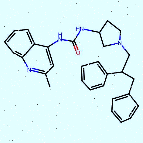 Cc1cc(NC(=O)NC2CCN(CC(Cc3ccccc3)c3ccccc3)C2)c2ccccc2n1